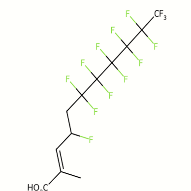 CC(=CC(F)CC(F)(F)C(F)(F)C(F)(F)C(F)(F)C(F)(F)C(F)(F)F)C(=O)O